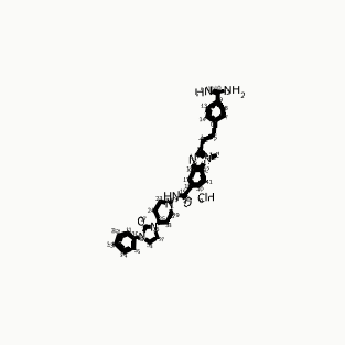 Cl.Cn1c(CCc2ccc(C(=N)N)cc2)nc2cc(C(=O)NN3CCC(N4CCN(c5ccccc5)C4=O)CC3)ccc21